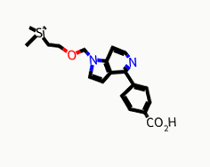 C[Si](C)(C)CCOCn1ccc2c(-c3ccc(C(=O)O)cc3)nccc21